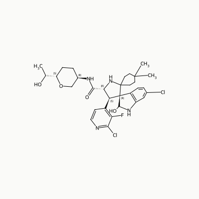 CC(O)[C@@H]1CC[C@@H](NC(=O)[C@@H]2NC3(CCC(C)(C)CC3)[C@]3(c4ccc(Cl)cc4NC3O)[C@H]2c2ccnc(Cl)c2F)CO1